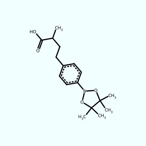 CC(CCc1ccc(B2OC(C)(C)C(C)(C)O2)cc1)C(=O)O